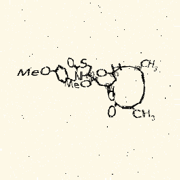 COc1ccc(CN2C(=O)SC[C@H]2[C@@]2(OC)C[C@H]3C[C@@H](CC[C@H](C)C=CCCC(C)=CC(=O)O3)O2)cc1